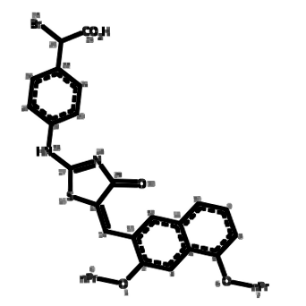 CCCOc1cc2c(OCCC)cccc2cc1C=C1SC(Nc2ccc(C(Br)C(=O)O)cc2)=NC1=O